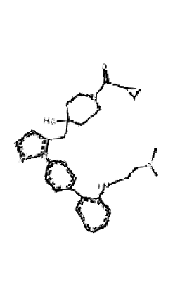 CN(C)CCNc1ccccc1-c1ccc(-n2nccc2CC2(O)CCN(C(=O)C3CC3)CC2)cc1